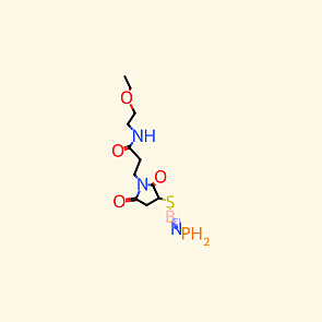 CCOCCNC(=O)CCN1C(=O)CC(S/B=N/P)C1=O